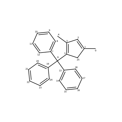 CC1=CC(C)=C(C(c2ccccc2)(c2ccccc2)c2ccccc2)C1